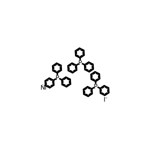 [I-].[Ni+].c1ccc(P(c2ccccc2)c2ccccc2)cc1.c1ccc(P(c2ccccc2)c2ccccc2)cc1.c1ccc(P(c2ccccc2)c2ccccc2)cc1